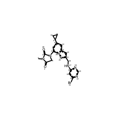 CN1C(=O)CN(c2cc(C3CC3)cc3cc(CNc4cc(Br)ncn4)nn23)C1=O